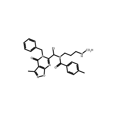 CCC(c1nc2onc(C)c2c(=O)n1Cc1ccccc1)N(CCCNC(=O)O)C(=O)c1ccc(C)cc1